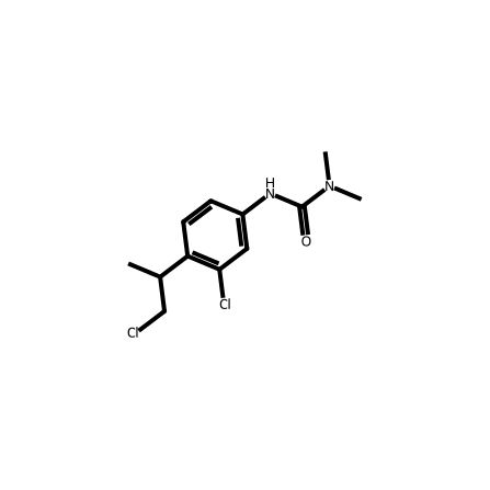 CC(CCl)c1ccc(NC(=O)N(C)C)cc1Cl